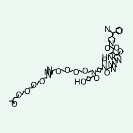 COc1cnc(-n2cnc(C(=O)NC3CC(N(CCOCCOCCOCCOCc4cn(CCOCCOCCOCCOCCC(C)=O)nn4)C(=O)C4CC(O)C4)C3)n2)c2[nH]cc(C(=O)C(=O)N3CCC(=C(C#N)c4ccccc4)CC3)c12